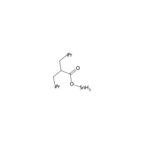 CC(C)CC(CC(C)C)C(=O)[O][SnH3]